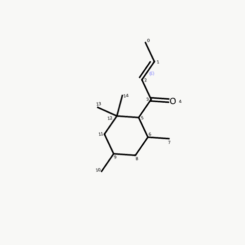 C/C=C/C(=O)C1C(C)CC(C)CC1(C)C